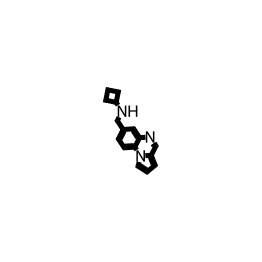 c1cc2cnc3cc(CNC4CCC4)ccc3n2c1